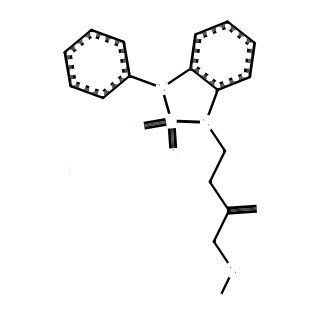 CNCC(=O)CCN1c2ccccc2N(c2ccccc2)S1(=O)=O.Cl